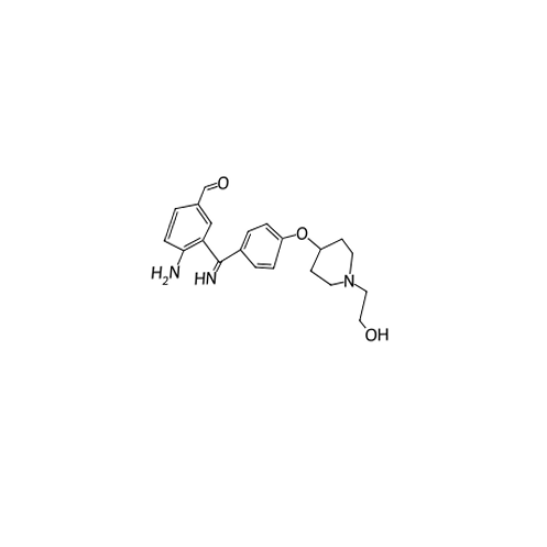 N=C(c1ccc(OC2CCN(CCO)CC2)cc1)c1cc(C=O)ccc1N